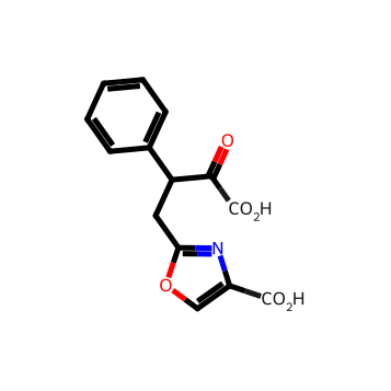 O=C(O)C(=O)C(Cc1nc(C(=O)O)co1)c1ccccc1